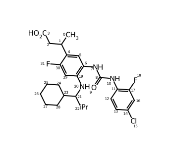 CC(CC(=O)O)c1cc(NC(=O)Nc2ccc(Cl)cc2F)c(NC(C(C)C)C2CCCCC2)cc1F